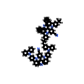 Cc1cc(-c2c(-n3c4ccccc4c4ccc(-n5c6ccccc6c6ccccc65)cc43)cc(C#N)cc2-n2c3ccccc3c3ccc(-n4c5ccccc5c5cc(CC(C)(C)c6ccc7c(c6)c6cc(C(C)(C)C)ccc6n7-c6cc(C#N)cc(-n7c8ccc(C(C)(C)C)cc8c8cc(C(C)(C)C)ccc87)c6-c6cc(-c7ccccc7)nc(-c7ccccc7)c6)ccc54)cc32)cc(C)n1